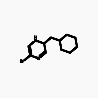 BrC1=CNC(CC2CCCCC2)C=N1